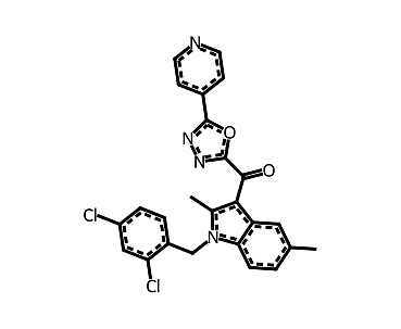 Cc1ccc2c(c1)c(C(=O)c1nnc(-c3ccncc3)o1)c(C)n2Cc1ccc(Cl)cc1Cl